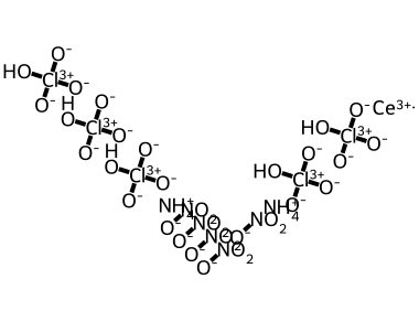 O=[N+]([O-])[O-].O=[N+]([O-])[O-].O=[N+]([O-])[O-].O=[N+]([O-])[O-].O=[N+]([O-])[O-].[Ce+3].[NH4+].[NH4+].[O-][Cl+3]([O-])([O-])O.[O-][Cl+3]([O-])([O-])O.[O-][Cl+3]([O-])([O-])O.[O-][Cl+3]([O-])([O-])O.[O-][Cl+3]([O-])([O-])O